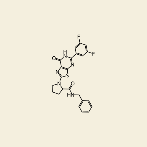 O=C(NCc1ccccc1)C1CCCN1c1nc2c(=O)[nH]c(-c3cc(F)cc(F)c3)nc2s1